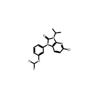 CC(C)n1c(=O)n(-c2cccc(OC(F)F)c2)c2ccc(Cl)nc21